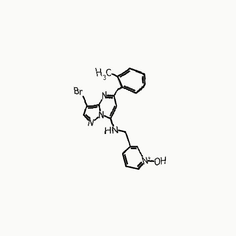 Cc1ccccc1-c1cc(NCc2ccc[n+](O)c2)n2ncc(Br)c2n1